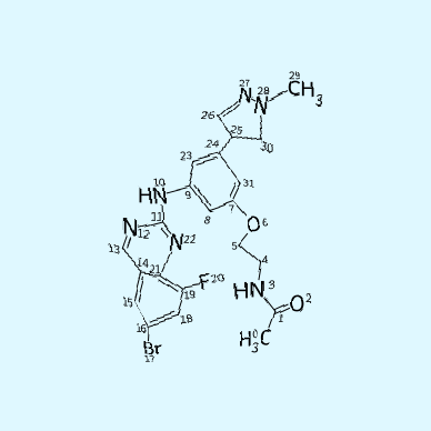 CC(=O)NCCOc1cc(Nc2ncc3cc(Br)cc(F)c3n2)cc(C2C=NN(C)C2)c1